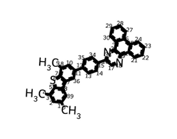 Cc1cc(C)c2sc3c(C)cc(-c4ccc(-c5cnc6c7ccccc7c7ccccc7c6n5)cc4)cc3c2c1